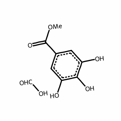 COC(=O)c1cc(O)c(O)c(O)c1.O=CO